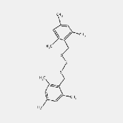 Cc1cc(C)c(CSSSCc2c(C)cc(C)cc2C)c(C)c1